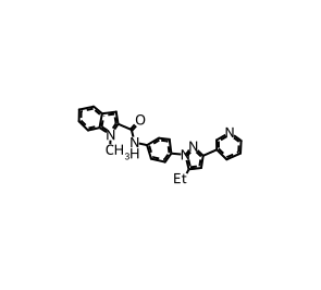 CCc1cc(-c2cccnc2)nn1-c1ccc(NC(=O)c2cc3ccccc3n2C)cc1